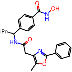 Cc1oc(-c2ccccc2)nc1CC(=O)NC(c1ccc(C(=O)NO)cc1)C(C)C